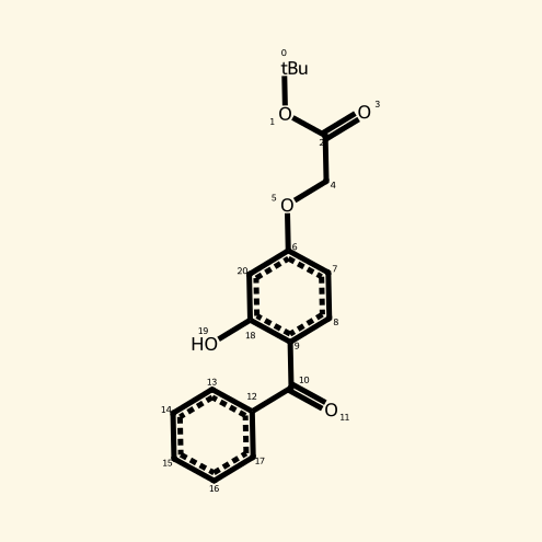 CC(C)(C)OC(=O)COc1ccc(C(=O)c2ccccc2)c(O)c1